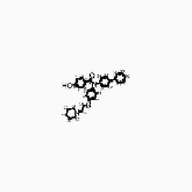 O=C(c1ccc(O)cc1)N(c1ccc(OCCN2CCCCC2)cc1)c1ccc(-c2ccccc2)cc1